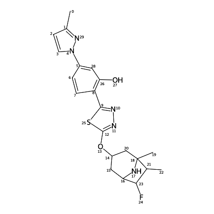 Cc1ccn(-c2ccc(-c3nnc(OC4CC5NC(C)(C4)C(C)C5F)s3)c(O)c2)n1